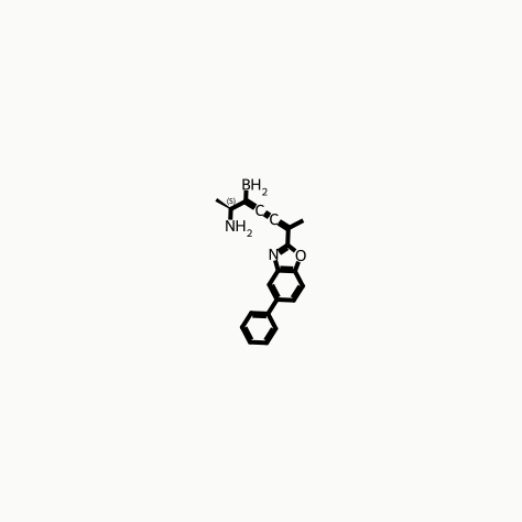 BC(=C=C=C(C)c1nc2cc(-c3ccccc3)ccc2o1)[C@H](C)N